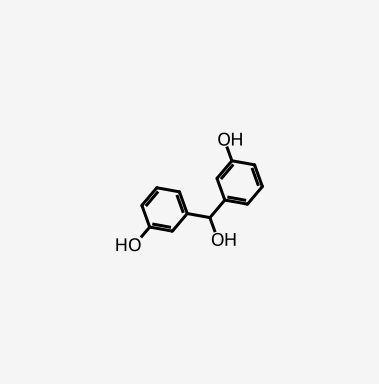 Oc1cccc(C(O)c2cccc(O)c2)c1